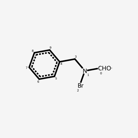 O=[C]N(Br)Cc1ccccc1